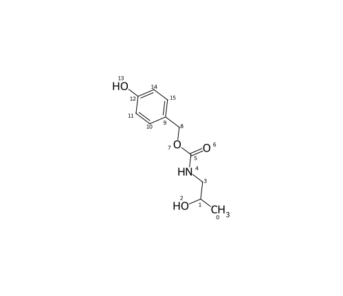 CC(O)CNC(=O)OCc1ccc(O)cc1